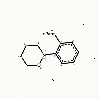 CCCCCc1ccccc1[SiH]1CCCCO1